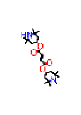 CN1C(C)(C)CC(OC(=O)C=CC(=O)OC2CC(C)(C)NC(C)(C)C2)CC1(C)C